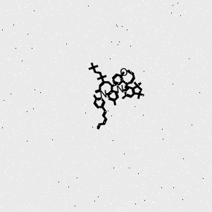 C=C/C=C\C=Cc1ccc(C)c(N2C(=C)/C=C(/C(C)(C)CCC(C)(C)C)CC(C)c3c2cc(C)cc3N(c2cc3c(cc2C)C(C)(C)CC3(C)C)c2cccc3c2C(=C)/C=C\C=C/O3)c1